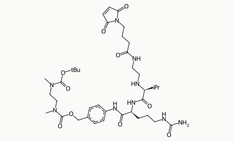 CC(C)[C@H](NCCNC(=O)CCCN1C(=O)C=CC1=O)C(=O)N[C@@H](CCCNC(N)=O)C(=O)Nc1ccc(COC(=O)N(C)CCN(C)C(=O)OC(C)(C)C)cc1